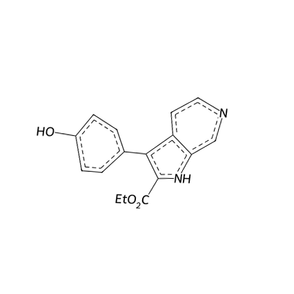 CCOC(=O)c1[nH]c2cnccc2c1-c1ccc(O)cc1